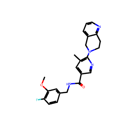 COc1cc(CNC(=O)c2cnc(N3CCc4ncccc4C3)c(C)c2)ccc1F